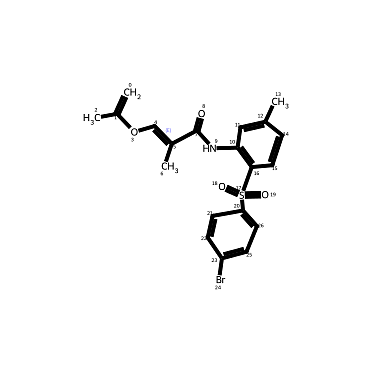 C=C(C)O/C=C(\C)C(=O)Nc1cc(C)ccc1S(=O)(=O)c1ccc(Br)cc1